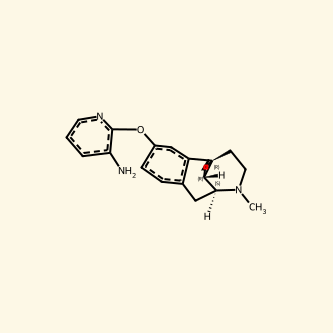 CN1CC[C@]23CCCC[C@H]2[C@@H]1Cc1ccc(Oc2ncccc2N)cc13